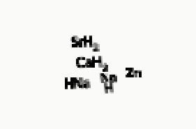 [CaH2].[NaH].[NaH].[SrH2].[Zn]